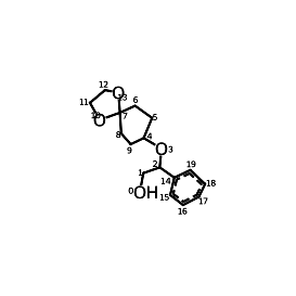 OCC(OC1CCC2(CC1)OCCO2)c1ccccc1